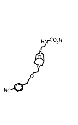 N#Cc1ccc(CCOCCN2CC3CN(CCNC(=O)O)CC(C2)O3)cc1